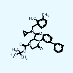 Cc1cccc(CN(C(=O)C2CN(C(=O)OC(C)(C)C)CC(=O)N2c2cccc(-c3ccccc3)c2)C2CC2)c1C